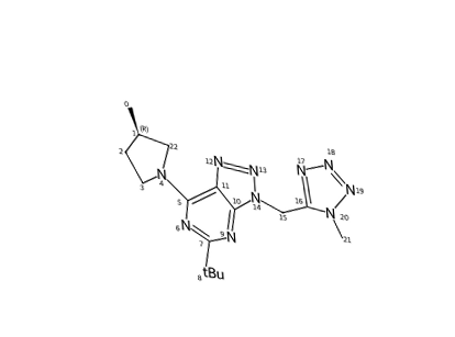 C[C@@H]1CCN(c2nc(C(C)(C)C)nc3c2nnn3Cc2nnnn2C)C1